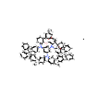 Cc1cc(C)cc(-c2cccc3c2B2c4cccc(-c5ccccc5)c4N(c4ccc([Si](c5ccccc5)(c5ccccc5)c5ccccc5)cc4)c4cc(-n5c6ccc(C)cc6c6cc(C)ccc65)cc(c42)N3c2ccc([Si](c3ccccc3)(c3ccccc3)c3ccccc3)cc2)c1